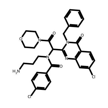 NCCCN(C(=O)c1ccc(Cl)cc1)C(C(=O)N1CCOCC1)c1nc2cc(Cl)ccc2c(=O)n1Cc1ccccc1